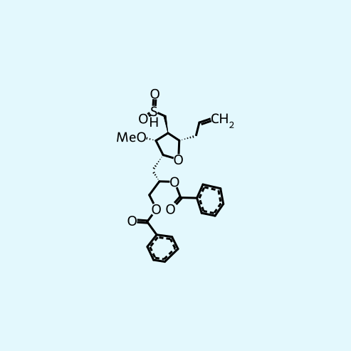 C=CC[C@@H]1O[C@H](C[C@@H](COC(=O)c2ccccc2)OC(=O)c2ccccc2)[C@H](OC)[C@H]1C[SH](=O)=O